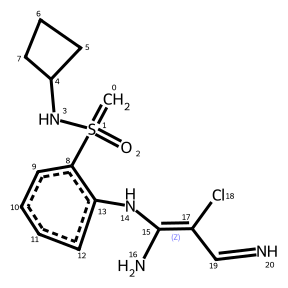 C=S(=O)(NC1CCC1)c1ccccc1N/C(N)=C(\Cl)C=N